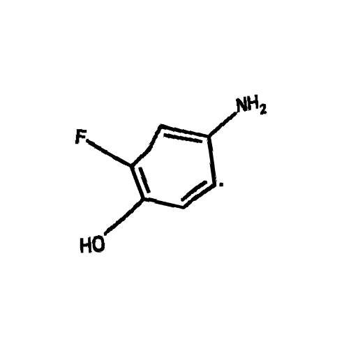 Nc1[c]cc(O)c(F)c1